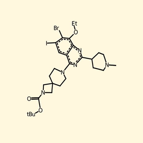 CCOc1c(Br)c(I)cc2c(N3CCC4(CC3)CN(C(=O)OC(C)(C)C)C4)nc(C3CCN(C)CC3)nc12